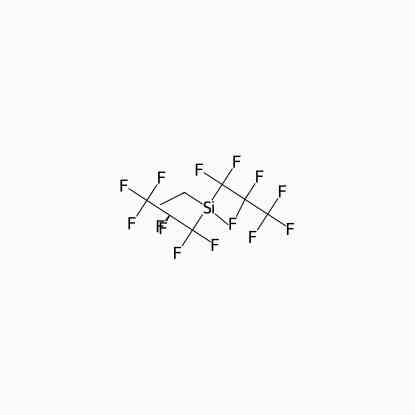 CC[Si](C)(C(F)(F)C(F)(F)C(F)(F)F)C(F)(F)C(F)(F)C(F)(F)F